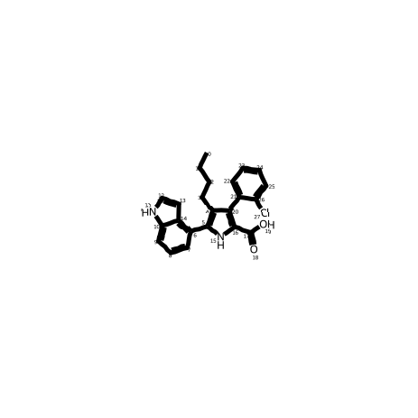 CCCCc1c(-c2cccc3[nH]ccc23)[nH]c(C(=O)O)c1-c1ccccc1Cl